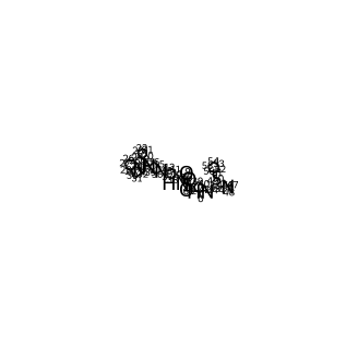 Cc1cc(S(=O)(=O)NC(=O)c2ccc(N3CCN(Cc4ccccc4-c4cccc5cccnc45)CC3)cc2)ccc1N[C@H](CCN(C)C)CSc1ccccc1